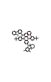 Cc1cc2c3c(c1)N(c1cccc4c1sc1ccccc14)c1cc(C(C)(C)C)ccc1B3c1ccc(N3c4cc(C)cc(C)c4C4(C)CCCCC34C)cc1N2c1ccc(C(C)(C)C)cc1-c1ccccc1